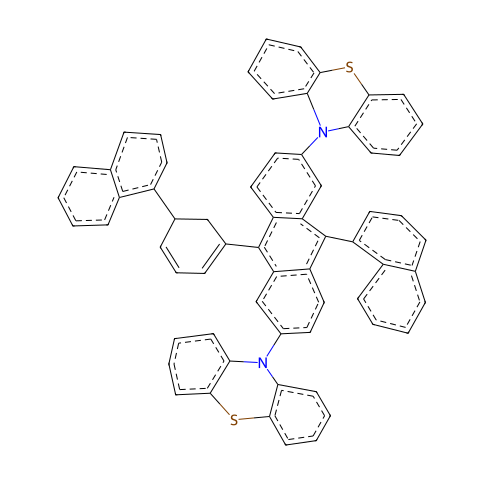 C1=CC(c2cccc3ccccc23)CC(c2c3cc(N4c5ccccc5Sc5ccccc54)ccc3c(-c3cccc4ccccc34)c3cc(N4c5ccccc5Sc5ccccc54)ccc23)=C1